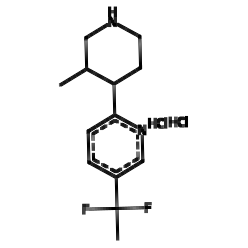 CC1CNCCC1c1ccc(C(C)(F)F)cn1.Cl.Cl